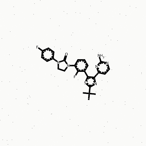 CC(C)(C)c1nc(-c2ccnc(N)n2)c(-c2cccc(N3CCN(c4ccc(F)cc4)C3=O)c2F)s1